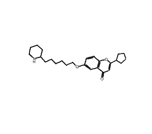 O=c1cc(C2CCCC2)oc2ccc(OCCCCCCC3CCCCN3)cc12